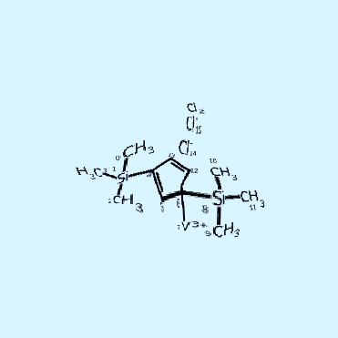 C[Si](C)(C)C1=C[C]([V+3])([Si](C)(C)C)C=C1.[Cl-].[Cl-].[Cl-]